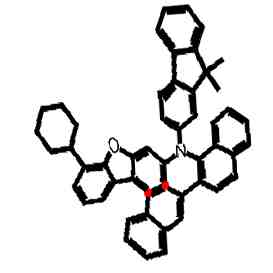 CC1(C)c2ccccc2-c2ccc(N(c3ccc4c(c3)oc3c(C5CCCCC5)cccc34)c3c(-c4ccc5ccccc5c4)ccc4ccccc34)cc21